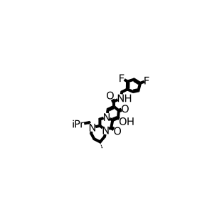 CC(C)CN1CC[C@@H](C)CN2C(=O)c3c(O)c(=O)c(C(=O)NCc4ccc(F)cc4F)cn3CC12